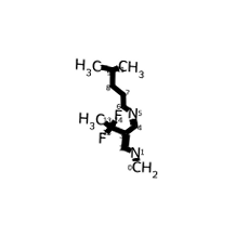 C=N/C=C(\C=N/CCCC(C)C)C(C)(F)F